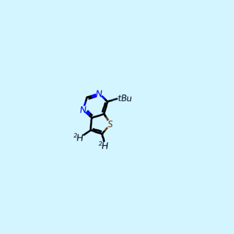 [2H]c1sc2c(C(C)(C)C)ncnc2c1[2H]